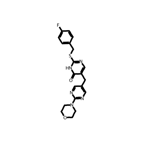 O=c1[nH]c(SCc2ccc(F)cc2)ncc1Cc1cnc(N2CCOCC2)nc1